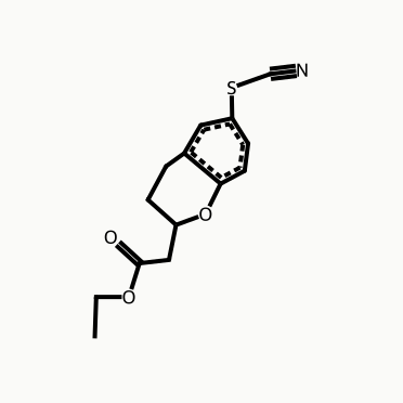 CCOC(=O)CC1CCc2cc(SC#N)ccc2O1